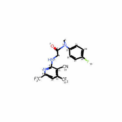 CN(C(=O)CNc1nc(C(F)(F)F)cc(C(F)(F)F)c1C#N)c1ccc(F)cc1